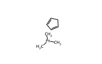 C1=CCC=C1.[CH3][Pt]([CH3])[CH3]